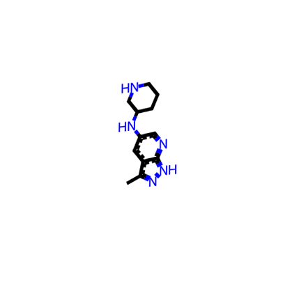 Cc1n[nH]c2ncc(NC3CCCNC3)cc12